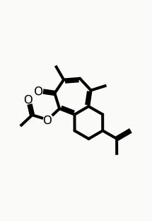 C=C(C)C1CCc2c(c(C)cc(C)c(=O)c2OC(C)=O)C1